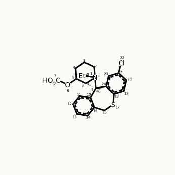 CC[N+]12CCCC(OC(=O)O)C1[C@]21c2ccccc2CSc2ccc(Cl)cc21